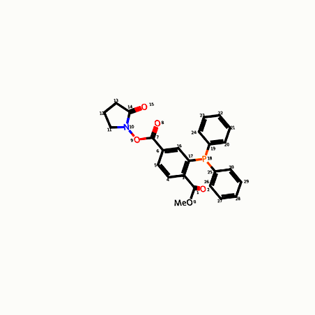 COC(=O)c1ccc(C(=O)ON2CCCC2=O)cc1P(c1ccccc1)c1ccccc1